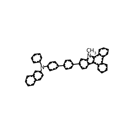 Cn1c2cc(-c3ccc(-c4ccc(N(c5ccccc5)c5ccc6ccccc6c5)cc4)cc3)ccc2c2c3ccccc3c3ccccc3c21